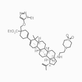 C=C(C)[C@@H]1CC[C@]2(NCCN3CCS(=O)(=O)CC3)CC[C@]3(C)[C@H](CC[C@@H]4[C@@]5(C)CC=C(C6=CCC(COc7cnnn7CC)(C(=O)OCC)CC6)C(C)(C)[C@@H]5CC[C@]43C)[C@@H]12